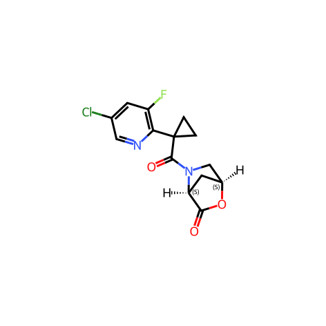 O=C1O[C@H]2C[C@@H]1N(C(=O)C1(c3ncc(Cl)cc3F)CC1)C2